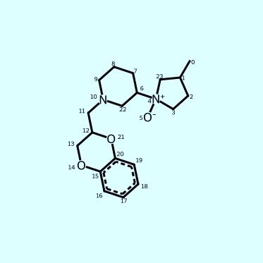 CC1CC[N+]([O-])(C2CCCN(CC3COc4ccccc4O3)C2)C1